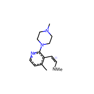 CN/C=C\c1c(C)ccnc1N1CCN(C)CC1